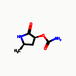 C[C@@H]1C[C@H](OC(N)=O)C(=O)N1